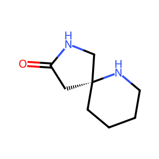 O=C1C[C@]2(CCCCN2)CN1